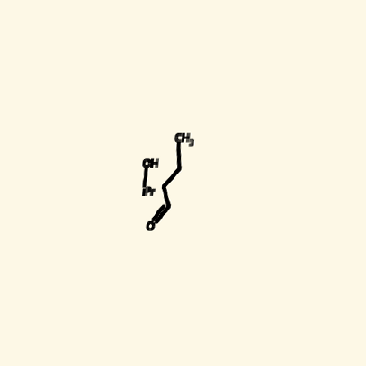 CC(C)O.CCCC=O